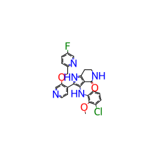 COc1c(Cl)cccc1Nc1c(-c2ccncc2OCc2ccc(F)cn2)[nH]c2c1C(=O)NCC2